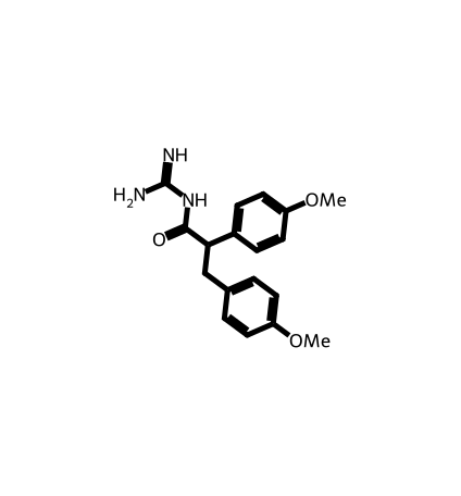 COc1ccc(CC(C(=O)NC(=N)N)c2ccc(OC)cc2)cc1